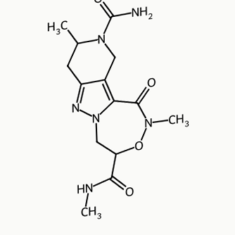 CNC(=O)C1Cn2nc3c(c2C(=O)N(C)O1)CN(C(N)=O)C(C)C3